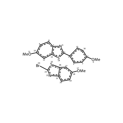 COc1ccc(-c2nc3ccc(OC)cc3s2)cc1.COc1ccc2nc(Br)sc2c1